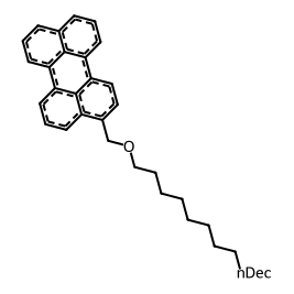 CCCCCCCCCCCCCCCCCCOCc1ccc2c3cccc4cccc(c5cccc1c52)c43